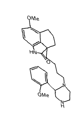 COc1ccccc1C1CNCCN1CCCCC12CCCc3c(OC)ccc(c31)NC2=O